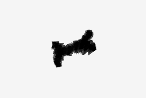 C[Si](C)(C)c1ccc2cc(N(c3ccc(C#N)cc3)c3ccc(-c4ccc(/C=C/c5ccc(-c6ccc(N(c7ccc(C#N)cc7)c7ccc8cc([Si](C)(C)C)ccc8c7)cc6)cc5)cc4)cc3)ccc2c1